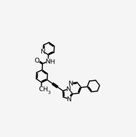 Cc1ccc(C(=O)Nc2ccccn2)cc1C#Cc1cnc2cc(C3=CCCCC3)cnn12